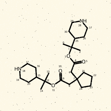 CC(C)(OC(=O)CC1(CC(=O)OC(C)(C)C2CCNCC2)CCCC1)C1CCNCC1